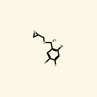 CC[C@@H](OCC1CO1)c1cc(F)c(F)cc1Br